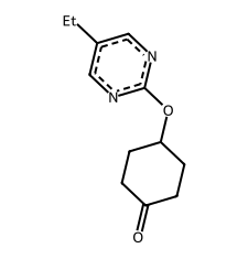 CCc1cnc(OC2CCC(=O)CC2)nc1